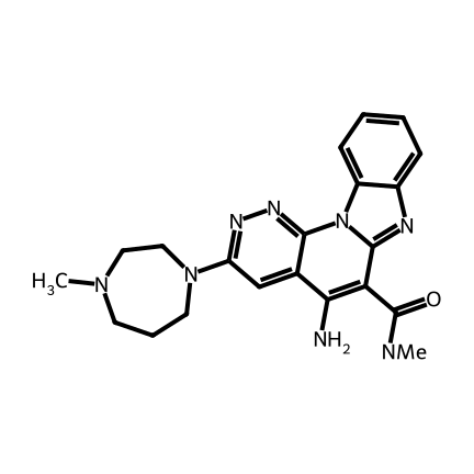 CNC(=O)c1c(N)c2cc(N3CCCN(C)CC3)nnc2n2c1nc1ccccc12